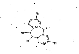 O=C1c2cc(Br)ccc2C(Br)C(Br)c2ccc(Br)cc21